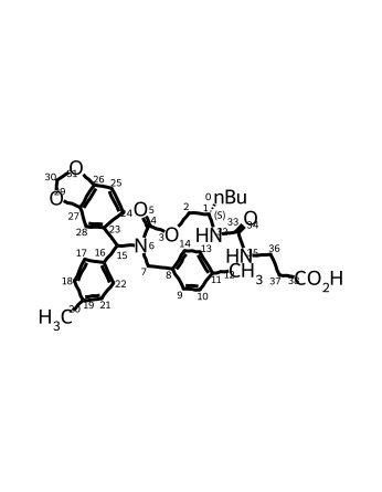 CCCC[C@@H](COC(=O)N(Cc1ccc(C)cc1)C(c1ccc(C)cc1)c1ccc2c(c1)OCO2)NC(=O)NCCC(=O)O